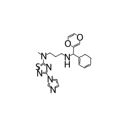 CN(CCCNC(C1=CC=CCC1)C1=COC=CO1)c1nc(-n2ccnc2)ns1